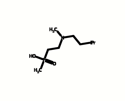 CC(C)CCN(C)CCP(C)(=O)O